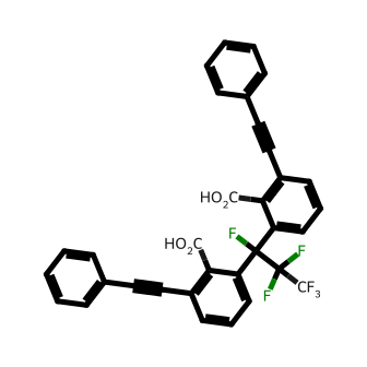 O=C(O)c1c(C#Cc2ccccc2)cccc1C(F)(c1cccc(C#Cc2ccccc2)c1C(=O)O)C(F)(F)C(F)(F)F